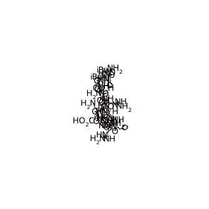 CC[C@H](C)[C@H](NC(=O)[C@H](Cc1ccccc1)NC(=O)[C@@H](NC(=O)[C@H](CC(=O)O)NC(=O)[C@H](C)N(N)C(=O)[C@H](CO)NC(=O)[C@H](CCCNC(=N)N)NC(=O)[C@H](CCCNC(=N)N)NC(=O)[C@@H](CCCCN)NC(=O)[C@H](CCC(=O)O)NC(=O)[C@H](CN=O)NC(=O)C(CO)NC(=O)[C@H](CCCNC(=N)N)NC(=O)CCc1ccccc1)[C@@H](C)CC)C(N)=O